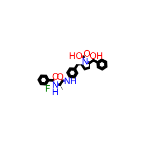 C[C@H](NC(=O)c1ccccc1F)C(=O)Nc1ccc(C[C@@H]2CC[C@H]([C@H](O)c3ccccc3)N2C(=O)O)cc1